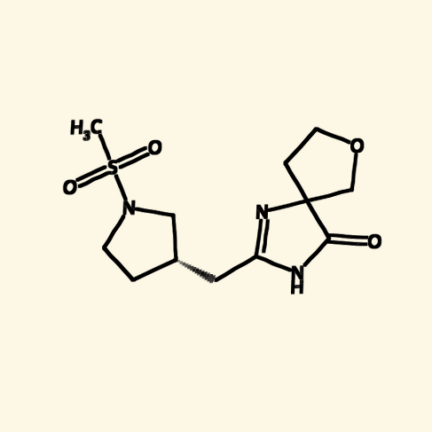 CS(=O)(=O)N1CC[C@@H](CC2=NC3(CCOC3)C(=O)N2)C1